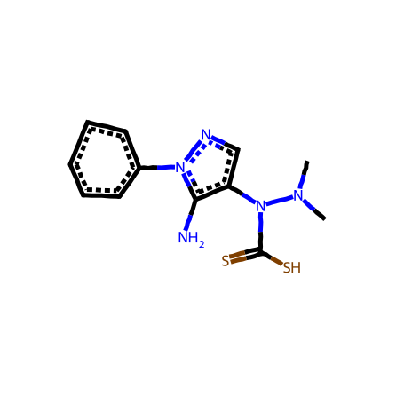 CN(C)N(C(=S)S)c1cnn(-c2ccccc2)c1N